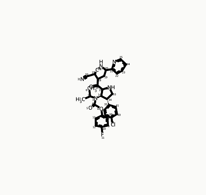 CC(C)N(C(=O)Oc1ccc(F)cc1)[C@H]1C(C(=O)C2CC(c3ccccn3)NCC2C#N)NC[C@@H]1c1ccc(Cl)cc1